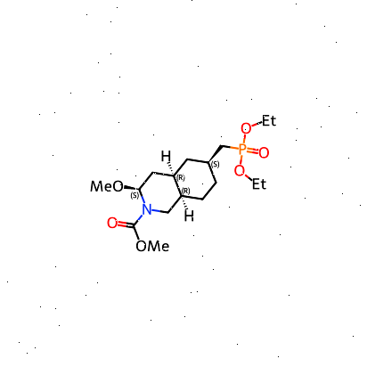 CCOP(=O)(C[C@H]1CC[C@H]2CN(C(=O)OC)[C@@H](OC)C[C@H]2C1)OCC